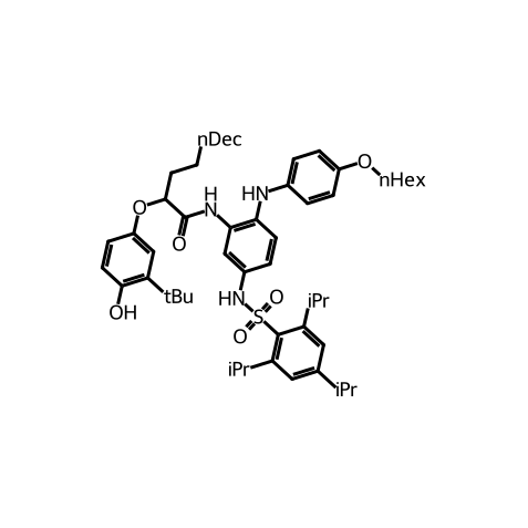 CCCCCCCCCCCCC(Oc1ccc(O)c(C(C)(C)C)c1)C(=O)Nc1cc(NS(=O)(=O)c2c(C(C)C)cc(C(C)C)cc2C(C)C)ccc1Nc1ccc(OCCCCCC)cc1